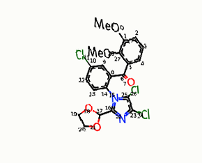 COc1cccc(C(=O)c2cc(Cl)ccc2-n2c(C3OCCO3)nc(Cl)c2Cl)c1OC